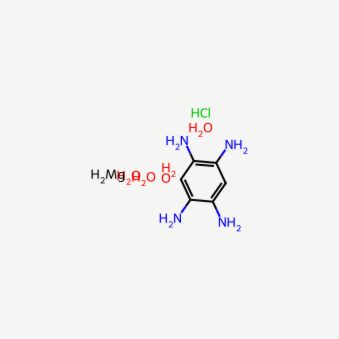 Cl.Nc1cc(N)c(N)cc1N.O.O.O.O.[MgH2]